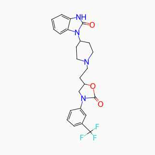 O=C1OC(CCN2CCC(n3c(=O)[nH]c4ccccc43)CC2)CN1c1cccc(C(F)(F)F)c1